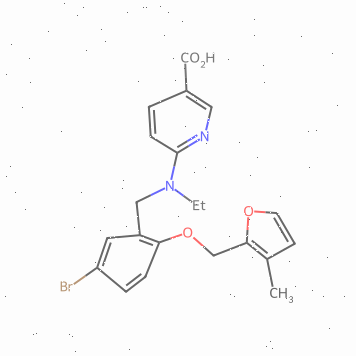 CCN(Cc1cc(Br)ccc1OCc1occc1C)c1ccc(C(=O)O)cn1